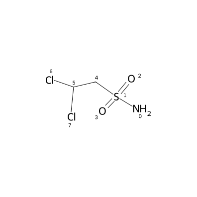 NS(=O)(=O)CC(Cl)Cl